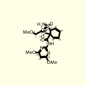 COCCS(=O)(=O)C1(C(=O)Nc2nc(OC)cc(OC)n2)C=CC=CC1S(N)(=O)=O